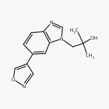 CC(C)(O)Cn1cnc2ccc(-c3cnoc3)cc21